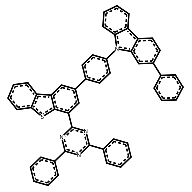 c1ccc(-c2ccc3c4ccccc4n(-c4ccc(-c5cc(-c6nc(-c7ccccc7)nc(-c7ccccc7)n6)c6sc7ccccc7c6c5)cc4)c3c2)cc1